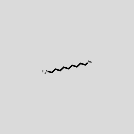 CC(=O)CCCCCCCCCN